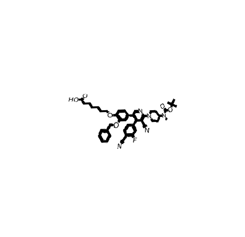 CN(C(=O)OC(C)(C)C)C1CCN(c2ncc(-c3ccc(OCCCCCCC(=O)O)c(OCc4ccccc4)c3)c(-c3ccc(C#N)c(F)c3)c2C#N)CC1